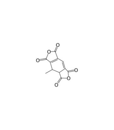 CC1C2=C(C=C3C(=O)OC(=O)C31)C(=O)OC2=O